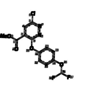 COC(=O)c1cc(Cl)nnc1Oc1ccc(OC(F)F)cc1